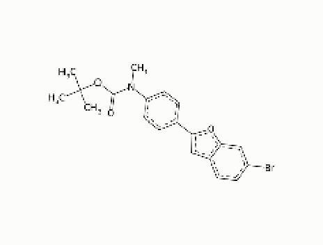 CN(C(=O)OC(C)(C)C)c1ccc(-c2cc3ccc(Br)cc3o2)cc1